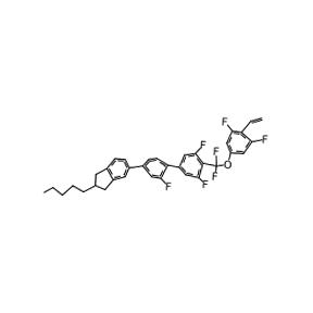 C=Cc1c(F)cc(OC(F)(F)c2c(F)cc(-c3ccc(-c4ccc5c(c4)CC(CCCCC)C5)cc3F)cc2F)cc1F